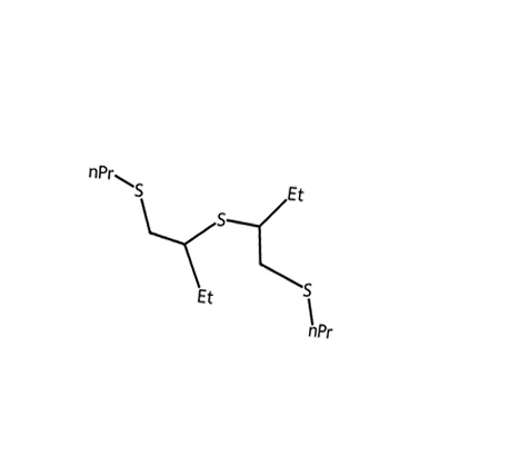 [CH2]CCSCC(CC)SC(CC)CSCCC